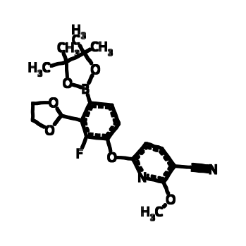 COc1nc(Oc2ccc(B3OC(C)(C)C(C)(C)O3)c(C3OCCO3)c2F)ccc1C#N